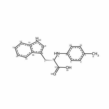 Cc1ccc(N[C@@H](Cc2c[nH]c3ccccc23)C(=O)O)cc1